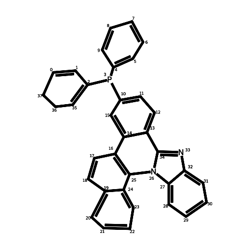 C1=CC(P(c2ccccc2)c2ccc3c(c2)c2ccc4ccccc4c2n2c4ccccc4nc32)=CCC1